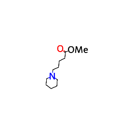 COC(=O)CCCCN1CCCCC1